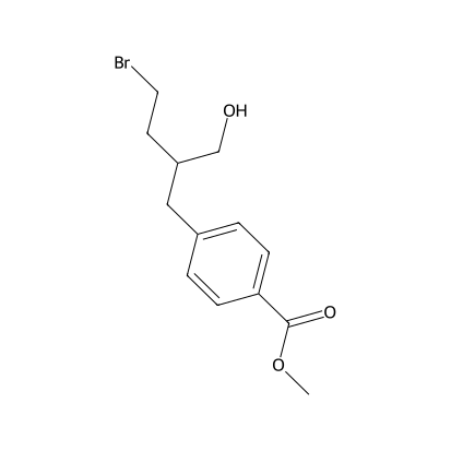 COC(=O)c1ccc(CC(CO)CCBr)cc1